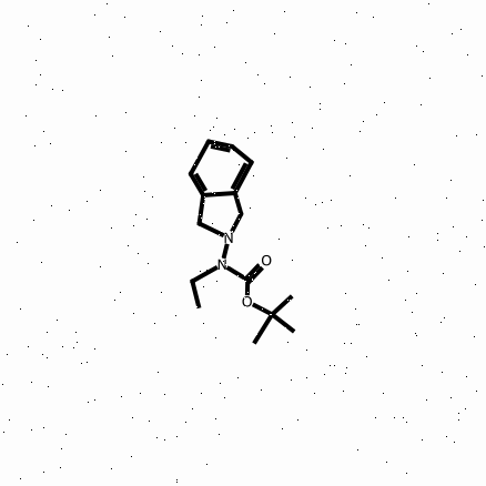 CCN(C(=O)OC(C)(C)C)N1Cc2ccccc2C1